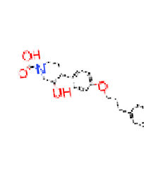 O=C(O)N1CCC(c2ccc(OCCCc3ccccc3)cc2)C(O)C1